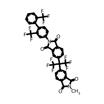 CN1C(=O)c2ccc(C(c3ccc4c(c3)C(=O)N(c3ccc(-c5ccccc5C(F)(F)F)c(C(F)(F)F)c3)C4=O)(C(F)(F)F)C(F)(F)F)cc2C1=O